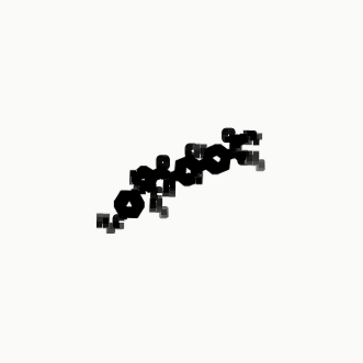 Cc1ccc(-n2ncc(C(=O)Nc3cnc(C4=CCC(N(C)C(=O)C(C)C)CC4)c(C)c3)c2C)cc1